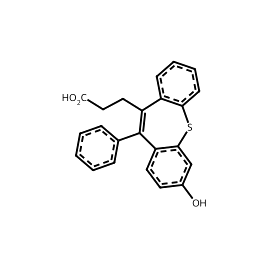 O=C(O)CCC1=C(c2ccccc2)c2ccc(O)cc2Sc2ccccc21